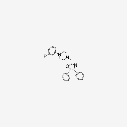 Fc1cccc(N2CCN(Cc3nc(-c4ccccc4)c(-c4ccccc4)o3)CC2)c1